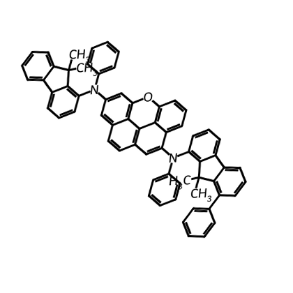 CC1(C)c2ccccc2-c2cccc(N(c3ccccc3)c3cc4c5c(ccc6cc(N(c7ccccc7)c7cccc8c7C(C)(C)c7c(-c9ccccc9)cccc7-8)c7cccc(c7c65)O4)c3)c21